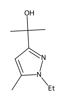 CCn1nc(C(C)(C)O)cc1C